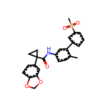 Cc1ccc(NC(=O)C2(c3ccc4c(c3)OCO4)CC2)cc1-c1cccc(S(C)(=O)=O)c1